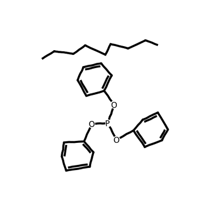 CCCCCCCCC.c1ccc(OP(Oc2ccccc2)Oc2ccccc2)cc1